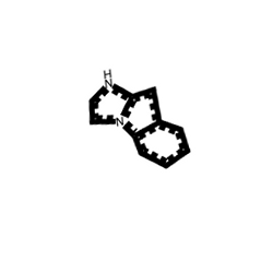 c1ccc2c(c1)cc1[nH]ccn12